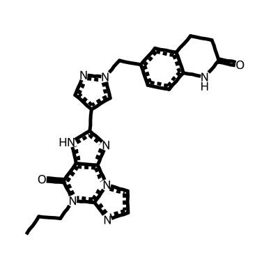 CCCn1c(=O)c2[nH]c(-c3cnn(Cc4ccc5c(c4)CCC(=O)N5)c3)nc2n2ccnc12